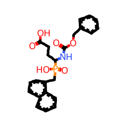 O=C(O)CCC(NC(=O)OCc1ccccc1)P(=O)(O)Cc1cccc2ccccc12